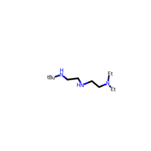 CCN(CC)CCNCCNC(C)(C)C